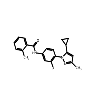 Cc1cc(C2CC2)n(-c2ccc(NC(=O)c3ccccc3C)cc2F)n1